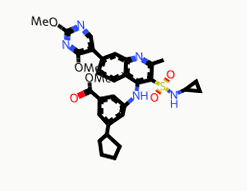 COC(=O)c1cc(Nc2c(S(=O)(=O)NC3CC3)c(C)nc3cc(-c4cnc(OC)nc4OC)ccc23)cc(C2CCCC2)c1